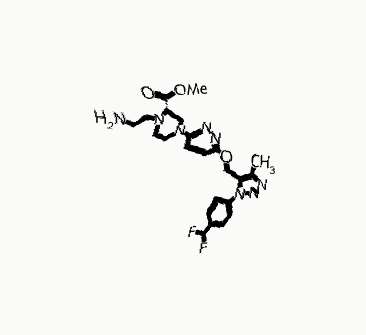 COC(=O)[C@@H]1CN(c2ccc(OCc3c(C)nnn3-c3ccc(C(F)F)cc3)nn2)CCN1CCN